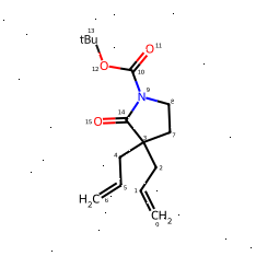 C=CCC1(CC=C)CCN(C(=O)OC(C)(C)C)C1=O